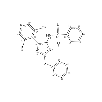 O=S(=O)(Nc1nc(Cc2ccccc2)oc1-c1c(F)cccc1F)c1ccccc1